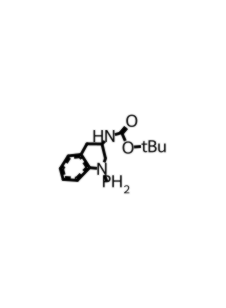 CC(C)(C)OC(=O)NC1Cc2ccccc2N(P)C1